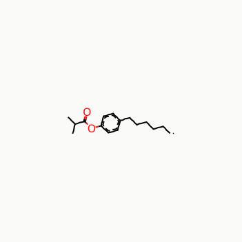 [CH2]CCCCCc1ccc(OC(=O)C(C)C)cc1